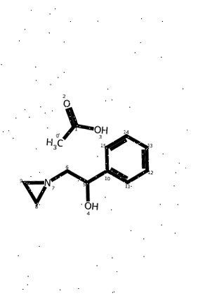 CC(=O)O.OC(CN1CC1)c1ccccc1